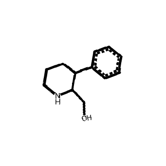 OCC1NCCCC1c1ccccc1